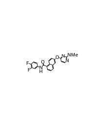 CNc1nccc(Oc2ccc3c(C(=O)Nc4ccc(F)c(F)c4)cccc3c2)n1